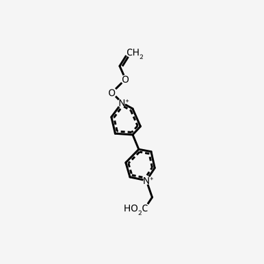 C=COO[n+]1ccc(-c2cc[n+](CC(=O)O)cc2)cc1